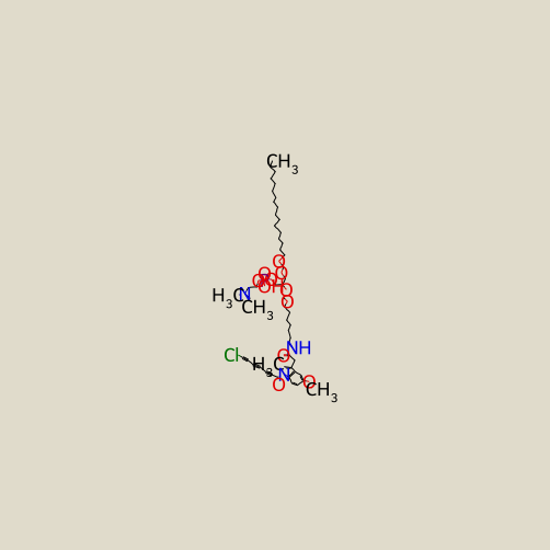 CCCCCCCCCCCCCCCCCOCOCC(COP(=O)(O)OCCN(C)CC)OCOCCCCCCCNC(=O)Cc1c(C)n(C(=O)C#CC#CC#CCl)c2ccc(OC)cc12